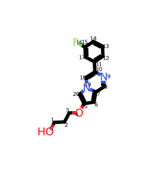 OCCCOc1cc2cnc(-c3cccc(F)c3)cn2c1